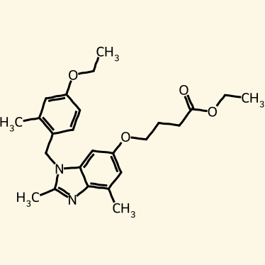 CCOC(=O)CCCOc1cc(C)c2nc(C)n(Cc3ccc(OCC)cc3C)c2c1